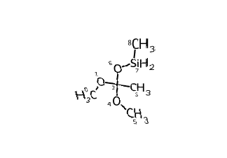 COC(C)(OC)O[SiH2]C